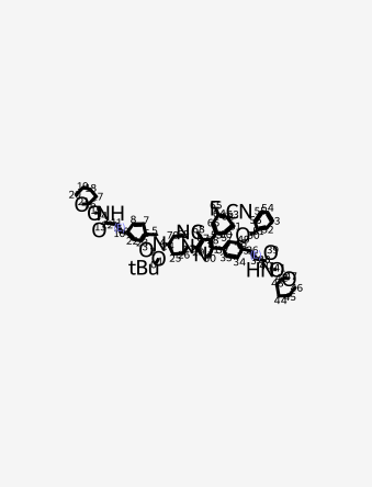 CC(C)(C)OC(=O)N(Cc1ccc(/C=C/C(=O)NOC2CCCCO2)cc1)C1CCN(c2ncc(-c3ccc(/C=C/C(=O)NOC4CCCCO4)c(OCc4ccccc4)c3)c(-c3ccc(C#N)c(F)c3)c2C#N)CC1